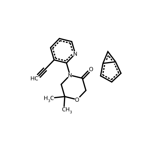 C#Cc1cccnc1N1CC(C)(C)OCC1=O.c1cc2cc-2c1